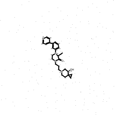 CC1C(=O)N(CCCN2CCC3(CC3)[C@H](O)C2)CCN1c1cccc(-c2ccncc2)c1